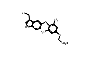 CC(C)Cc1c[nH]c2ccc(Oc3c(C(F)(F)F)cc(OCC(=O)O)cc3C(F)(F)F)cc12